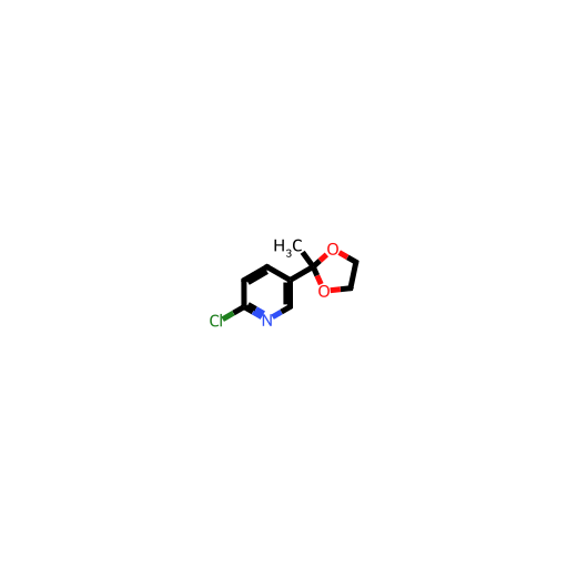 CC1(c2ccc(Cl)nc2)OCCO1